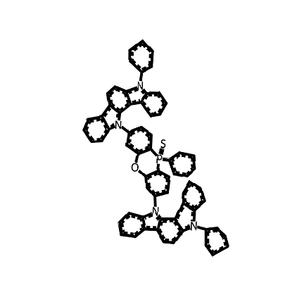 S=P1(c2ccccc2)c2ccc(-n3c4ccccc4c4ccc5c(c6ccccc6n5-c5ccccc5)c43)cc2Oc2cc(-n3c4ccccc4c4ccc5c(c6ccccc6n5-c5ccccc5)c43)ccc21